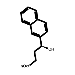 CCCCCCCCCC[C@H](O)c1ccc2ccccc2c1